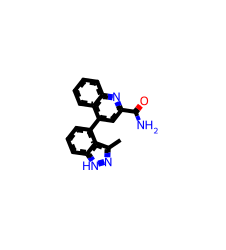 Cc1n[nH]c2cccc(-c3cc(C(N)=O)nc4ccccc34)c12